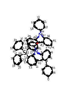 c1ccc(-c2cccc3c2c2cccc([Si](c4ccccc4)(c4ccccc4)c4ccccc4)c2n3-c2cccc3c2c2ccccc2n3-c2ccccc2)cc1